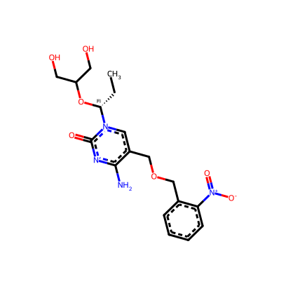 CC[C@@H](OC(CO)CO)n1cc(COCc2ccccc2[N+](=O)[O-])c(N)nc1=O